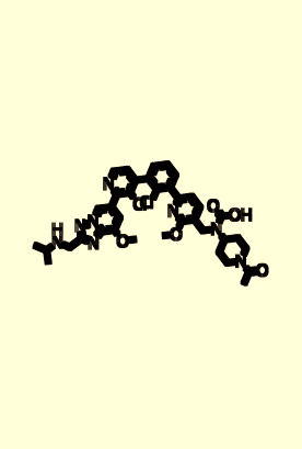 COc1nc(-c2cccc(-c3ccnc(-c4cc(OC)c5nc(CNC(C)C)nn5c4)c3Cl)c2Cl)ccc1CN(C(=O)O)C1CCN(C(C)=O)CC1